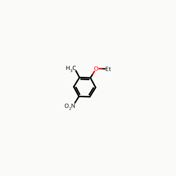 CCOc1ccc([N+](=O)[O-])cc1C